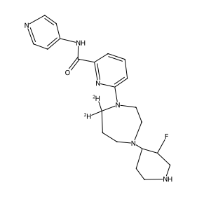 [2H]C1([2H])CCN(C2CCNCC2F)CCN1c1cccc(C(=O)Nc2ccncc2)n1